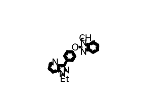 CCn1nc(-c2ccc(Oc3nc4ccccc4n3C)cc2)c2ncccc21